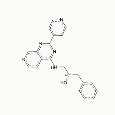 O[C@H](CNc1nc(-c2ccncc2)nc2cnccc12)Cc1ccccc1